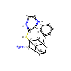 NC1C2CC3CC(c4ccccc4)(C2)CC1(Sc1cnccn1)C3